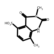 Cc1ccc(S(=O)(=O)O)c2c(=O)n(C)c(=O)[nH]c12